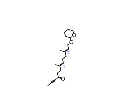 CC#CC(=O)CC/C(C)=C/CC/C(C)=C/COC1CCCCO1